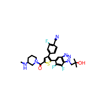 CNC1CCCN(C(=O)c2cc(-c3ccc(C#N)c(F)c3)c(-c3cc4nnn(CC(C)(C)O)c4c(F)c3F)s2)C1